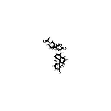 CC(=O)N1CCC(C)(C(=O)N[C@@H](Cc2cccc3c(-n4c(=O)ccn(C)c4=O)cccc23)C(=O)O)CC1